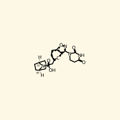 O=C1CCN(c2noc3ccc(CN4C[C@H]5CC[C@@H](C4)N5C(=O)O)cc23)C(=O)N1